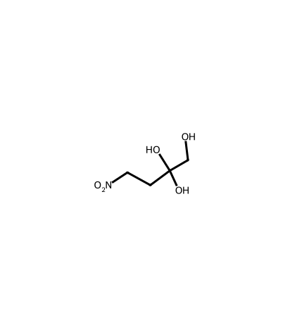 O=[N+]([O-])CCC(O)(O)CO